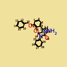 C[C@]12C[C@H](c3cccc(OCc4ccccc4)c3O1)N(N)C(=O)N2c1ccccc1